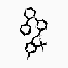 Fc1ccc(CNc2nccc(N3CCOCC3c3ccccc3)n2)c(C(F)(F)F)c1